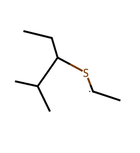 C[CH]SC(CC)C(C)C